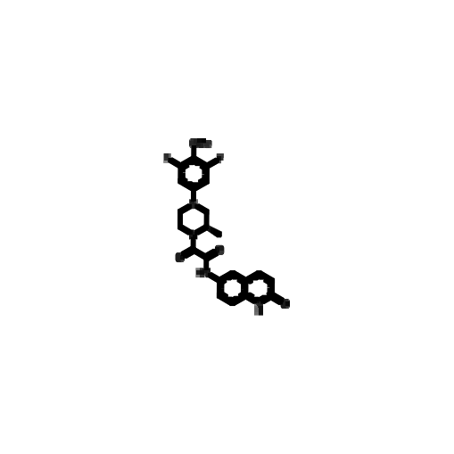 COc1c(F)cc(N2CCN(C(=O)C(=O)Nc3ccc4[nH]c(=O)ccc4c3)[C@H](C)C2)cc1F